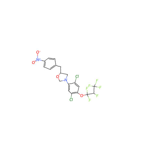 O=[N+]([O-])c1ccc(CC2CN(c3cc(Cl)c(OC(F)(F)C(F)C(F)(F)F)cc3Cl)CO2)cc1